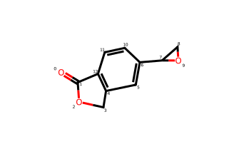 O=C1OCc2cc(C3CO3)ccc21